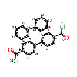 O=C(Cl)c1ccc(-c2ccc(C(=O)Cl)cc2)cc1.c1ccc(-c2ccccc2)cc1